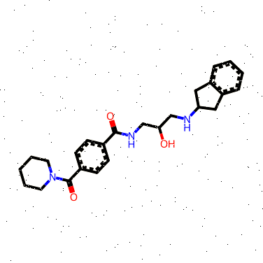 O=C(NCC(O)CNC1Cc2ccccc2C1)c1ccc(C(=O)N2CCCCC2)cc1